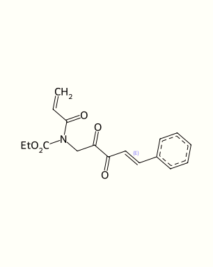 C=CC(=O)N(CC(=O)C(=O)/C=C/c1ccccc1)C(=O)OCC